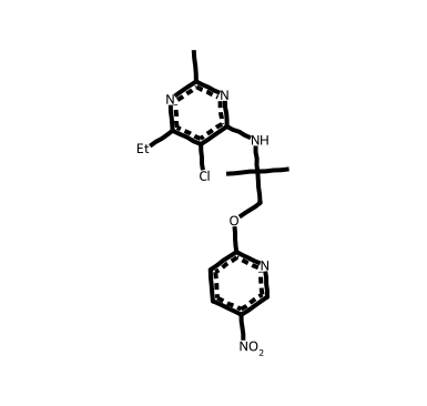 CCc1nc(C)nc(NC(C)(C)COc2ccc([N+](=O)[O-])cn2)c1Cl